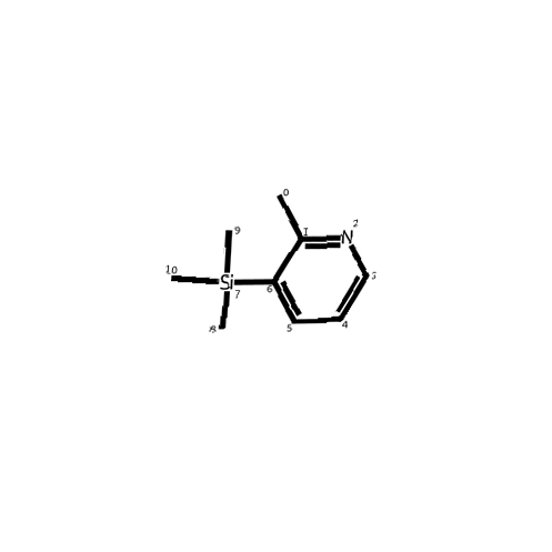 Cc1ncccc1[Si](C)(C)C